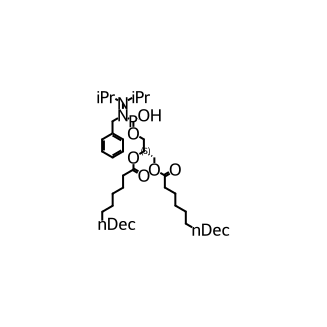 CCCCCCCCCCCCCCCC(=O)OC[C@@H](COP(O)N(Cc1ccccc1)N(C(C)C)C(C)C)OC(=O)CCCCCCCCCCCCCCC